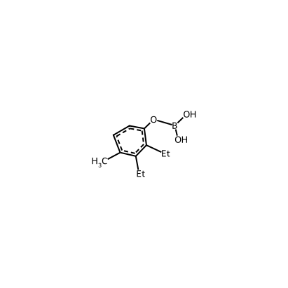 CCc1c(C)ccc(OB(O)O)c1CC